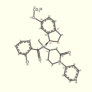 C[N+](C(=O)c1ccccc1Cl)(C1CCN(c2ccncc2)C(=O)C1)[C@@H]1CCc2ccc(OC(=O)O)cc21